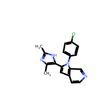 Cc1nc(C)c(-c2cc3ccncc3n2-c2ccc(Cl)cc2)[nH]1